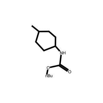 CCCCOC(=O)NC1CCC(C)CC1